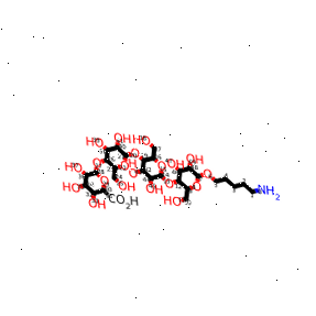 NCCCCCOC1OC(CO)C(OC2OC(CO)C(OC3OC(CO)C(OC4OC(C(=O)O)C(O)C(O)C4O)C(O)C3O)C(O)C2O)C(O)C1O